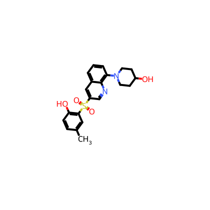 Cc1ccc(O)c(S(=O)(=O)c2cnc3c(N4CCC(O)CC4)cccc3c2)c1